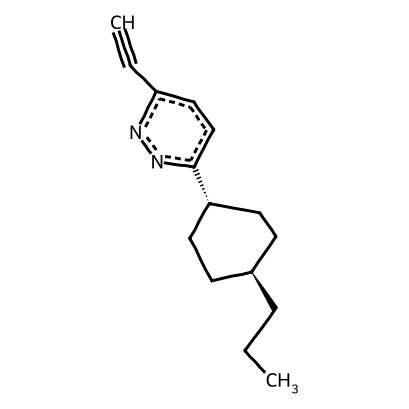 C#Cc1ccc([C@H]2CC[C@H](CCC)CC2)nn1